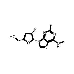 CNc1nc(C)nc2c1ncn2[C@@H]1O[C@H](CO)C[C@H]1F